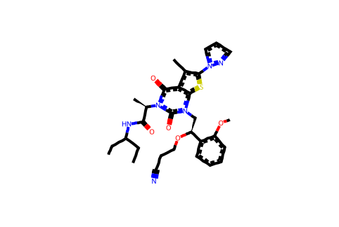 CCC(CC)NC(=O)[C@@H](C)n1c(=O)c2c(C)c(-n3cccn3)sc2n(C[C@H](OCCC#N)c2ccccc2OC)c1=O